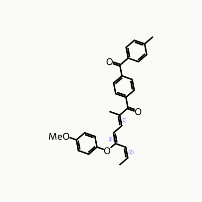 C\C=C/C(=C\C=C(/C)C(=O)c1ccc(C(=O)c2ccc(C)cc2)cc1)Oc1ccc(OC)cc1